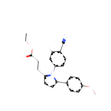 CCOC(=O)CCc1ccc(-c2ccc(OC)cc2)n1-c1ccc(C#N)c(F)c1